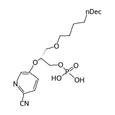 CCCCCCCCCCCCCCOC[C@H](COP(=O)(O)O)Oc1ccc(C#N)nc1